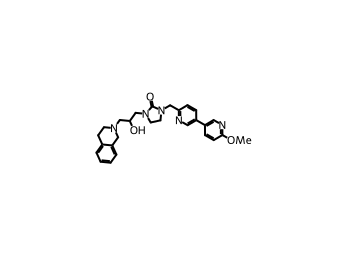 COc1ccc(-c2ccc(CN3CCN(CC(O)CN4CCc5ccccc5C4)C3=O)nc2)cn1